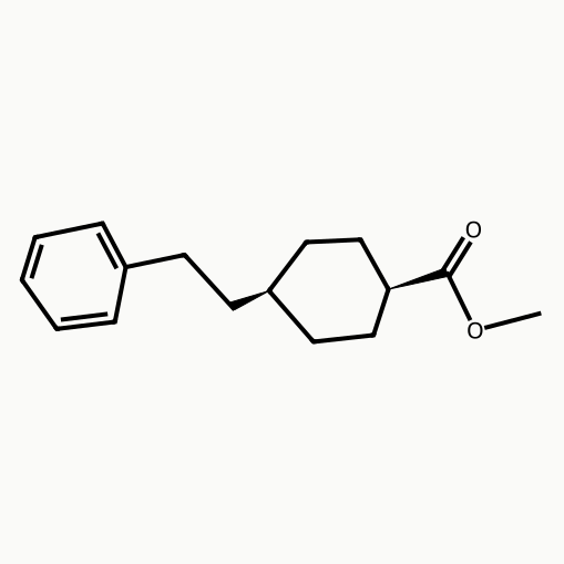 COC(=O)[C@H]1CC[C@@H](CCc2ccccc2)CC1